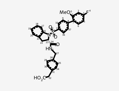 COc1cc(F)ccc1-c1ccc(S(=O)(=O)N2c3ccccc3C[C@H]2C(=O)NCc2ccc(CC(=O)O)cc2)cc1